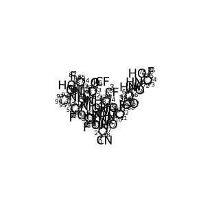 N#Cc1ccc(NC(=O)Nc2cccc(F)c2O)cc1.O=C(Nc1ccc(C(F)(F)F)cc1)Nc1cccc(F)c1O.O=C(Nc1ccc(OC(F)(F)F)cc1)Nc1cccc(F)c1O.O=C(Nc1ccc2c(c1)OCO2)Nc1cccc(F)c1O.O=C(Nc1cccc(F)c1O)NC1CCCCC1